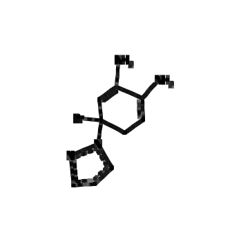 NC1=CCC(Br)(n2cccn2)C=C1N